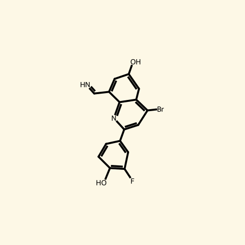 N=Cc1cc(O)cc2c(Br)cc(-c3ccc(O)c(F)c3)nc12